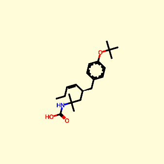 CC/C=C\[C@@H](Cc1ccc(OC(C)(C)C)cc1)CC(C)(C)NC(=O)O